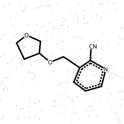 N#Cc1ncccc1COC1CCOC1